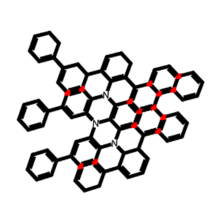 C1=CCCC(C2=CC=CC(C3=CCCC(C4=CC=CC(C5C=CC=CC5)C4)=C3N3c4ccc(-c5ccccc5)cc4N4c5cc(-c6ccccc6)ccc5N(C5C(C6=CC=CCC6)=CC=CC5C5=CCCC=C5)c5cc(N(c6ccccc6)c6ccccc6)cc3c54)C2)=C1